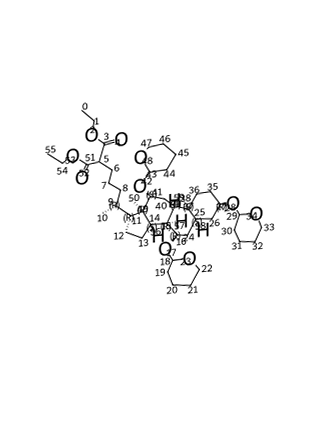 CCOC(=O)C(CCC[C@@H](C)[C@H]1CC[C@H]2[C@@H]3[C@H](OC4CCCCO4)C[C@@H]4C[C@H](OC5CCCCO5)CC[C@]4(C)[C@H]3C[C@H](OC3CCCCO3)[C@]12C)C(=O)OCC